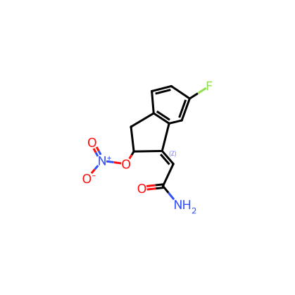 NC(=O)/C=C1/c2cc(F)ccc2CC1O[N+](=O)[O-]